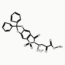 CCCCOC(=O)C(=O)C[C@@H](C(=O)O)N1C(=O)c2cc3c(cc2S1(=O)=O)OC(c1ccccc1)(c1ccccc1)O3